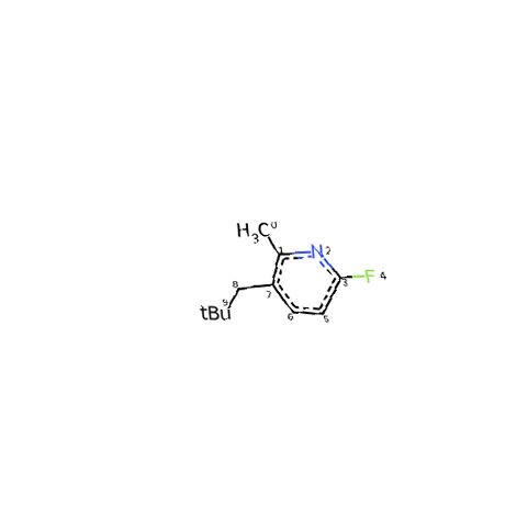 Cc1nc(F)ccc1CC(C)(C)C